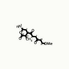 CCCC1CC(C(=O)CCC(=O)CCOC)C(C)C(=O)O1